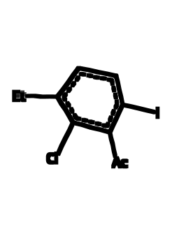 CCc1ccc(I)c(C(C)=O)c1Cl